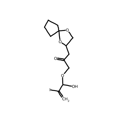 C=C(I)C(O)OCC(=O)CC1COC2(CCCC2)O1